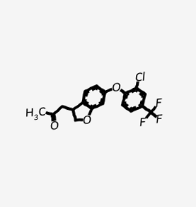 CC(=O)CC1COc2cc(Oc3ccc(C(F)(F)F)cc3Cl)ccc21